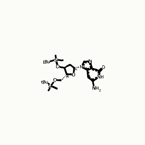 CC(C)(C)[Si](C)(C)OC[C@H]1O[C@@H](n2cnc3c(=O)[nH]c(N)cc32)CC1O[Si](C)(C)C(C)(C)C